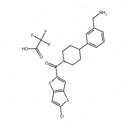 NCc1cccc(C2CCN(C(=O)c3cc4sc(Cl)cc4s3)CC2)c1.O=C(O)C(F)(F)F